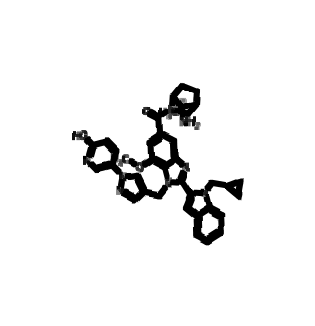 COc1cc(C(=O)N2CC3CCC2[C@]3(C)N)cc2nc(-c3cc4ccccc4n3CC3CC3)n(Cc3cnn(-c4ccc(O)nc4)c3)c12